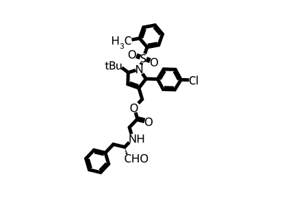 Cc1ccccc1S(=O)(=O)N1C(c2ccc(Cl)cc2)C(COC(=O)CN[C@H](C=O)Cc2ccccc2)=CC1C(C)(C)C